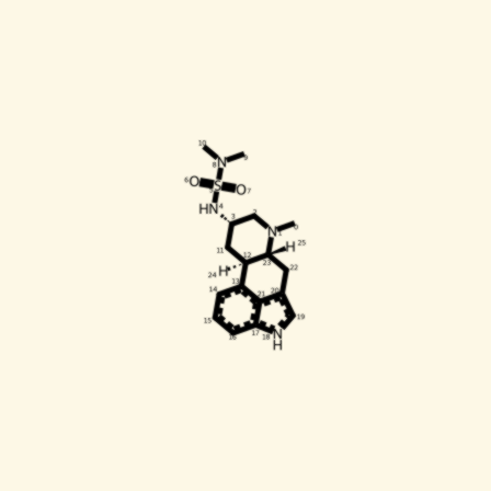 CN1C[C@@H](NS(=O)(=O)N(C)C)C[C@@H]2c3cccc4[nH]cc(c34)C[C@H]21